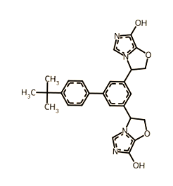 CC(C)(C)c1ccc(-c2cc(C3COc4c(O)ncn43)cc(C3COc4c(O)ncn43)c2)cc1